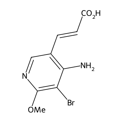 COc1ncc(C=CC(=O)O)c(N)c1Br